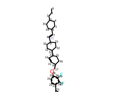 CCCC1CCC(/C=C/C2CCC(C3C=CC(COc4ccc(C5CO5)c(F)c4F)CC3)CC2)CC1